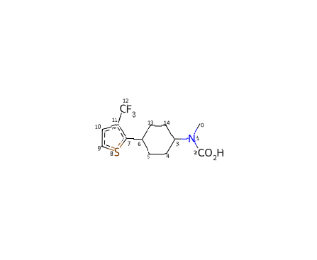 CN(C(=O)O)C1CCC(c2sccc2C(F)(F)F)CC1